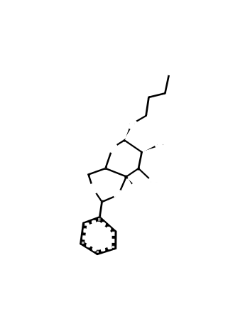 CCCCO[C@@H]1OC2COC(c3ccccc3)O[C@H]2C(O)[C@@H]1O